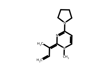 C=C/C(C)=C1/N=C(N2CCCC2)C=CN1C